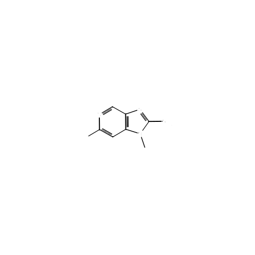 Cn1c(N)nc2cnc(Br)cc21